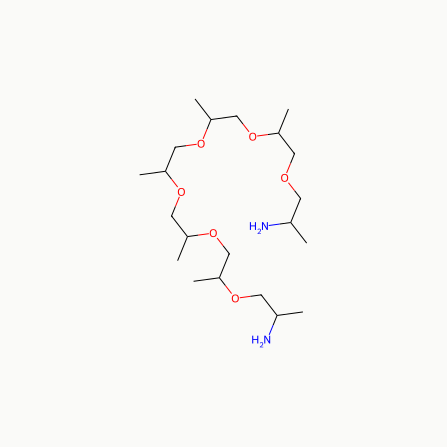 CC(N)COCC(C)OCC(C)OCC(C)OCC(C)OCC(C)OCC(C)N